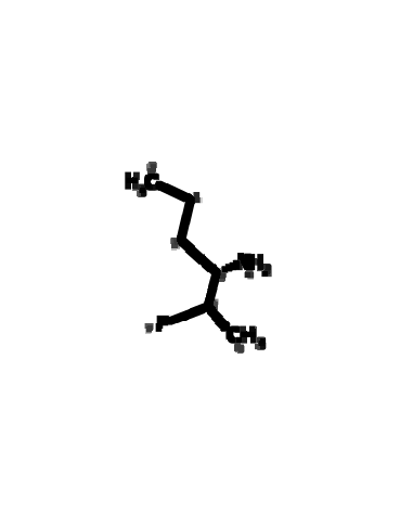 CCC[C@H](N)C(C)F